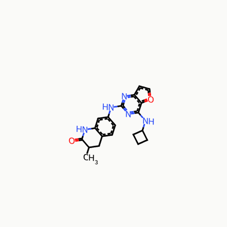 CC1Cc2ccc(Nc3nc(NC4CCC4)c4occc4n3)cc2NC1=O